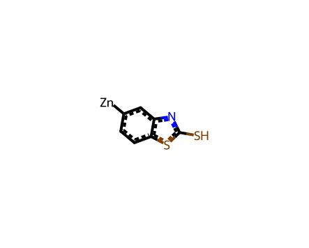 Sc1nc2c[c]([Zn])ccc2s1